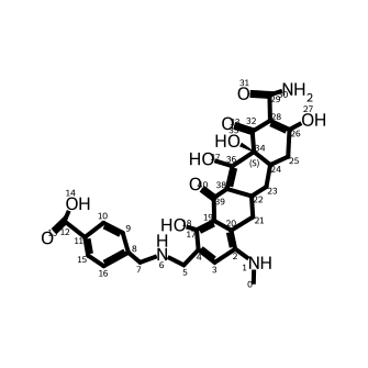 CNc1cc(CNCc2ccc(C(=O)O)cc2)c(O)c2c1CC1CC3CC(O)=C(C(N)=O)C(=O)[C@@]3(O)C(O)=C1C2=O